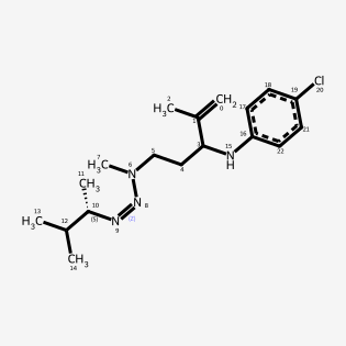 C=C(C)C(CCN(C)/N=N\[C@@H](C)C(C)C)Nc1ccc(Cl)cc1